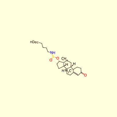 CCCCCCCCCCCCCCNS(=O)O[C@H]1CC[C@H]2[C@@H]3CCC4=CC(=O)CC[C@]4(C)[C@H]3CC[C@]12C